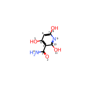 NC(=O)c1c(O)cc(O)nc1O